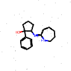 OC1(c2ccccc2)CCCC1/N=C1\CCCCCN1